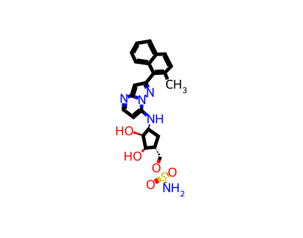 Cc1ccc2ccccc2c1-c1cc2nccc(N[C@@H]3C[C@H](COS(N)(=O)=O)[C@@H](O)[C@H]3O)n2n1